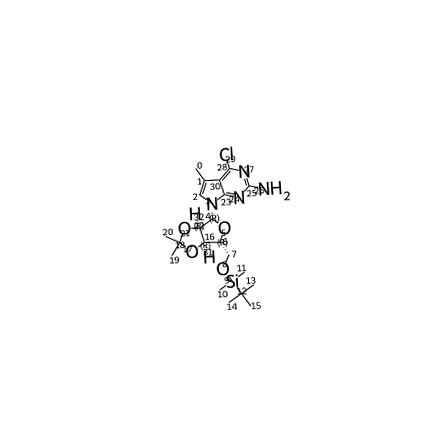 Cc1cn([C@@H]2O[C@H](CO[Si](C)(C)C(C)(C)C)[C@H]3OC(C)(C)O[C@H]32)c2nc(N)nc(Cl)c12